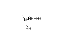 CCN(CC)CC.F.[HH].[HH].[HH]